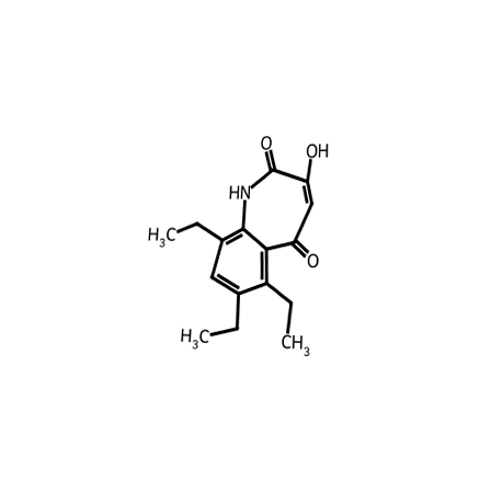 CCc1cc(CC)c2[nH]c(=O)c(O)cc(=O)c2c1CC